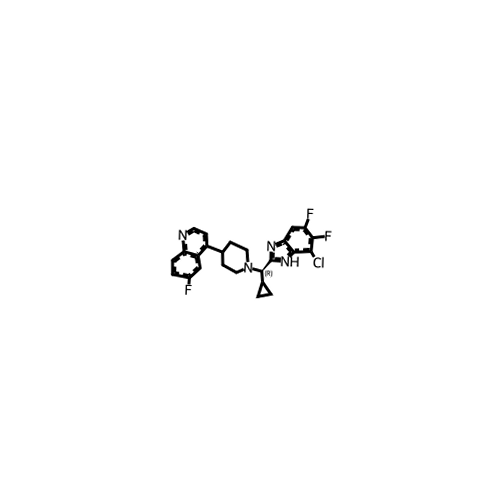 Fc1ccc2nccc(C3CCN([C@@H](c4nc5cc(F)c(F)c(Cl)c5[nH]4)C4CC4)CC3)c2c1